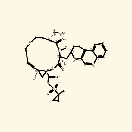 CC1(S(=O)(=O)NC(=O)[C@@]23C[C@H]2/C=C\CCCCC[C@H](NC(=O)O)C(=O)N2C[C@@]4(CCc5c(cnc6ccccc56)O4)C[C@H]2C(=O)N3)CC1